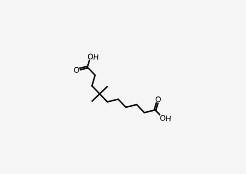 CC(C)(CCCCCC(=O)O)CCC(=O)O